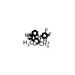 CC1(C)COC(C)(c2ccsc2)c2c1n(-c1ccc(F)c(F)c1)c1cccc(O)c21